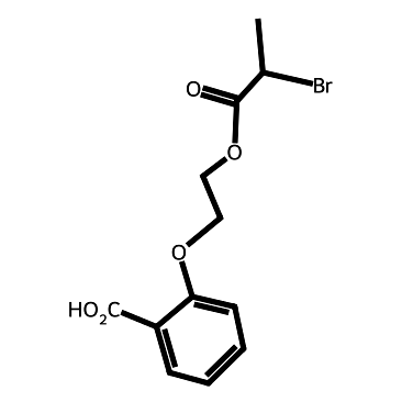 CC(Br)C(=O)OCCOc1ccccc1C(=O)O